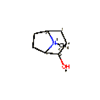 CN1C2CCC(O)C1CC2